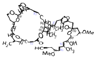 C#CC[C@H](/C=C/C(C)=C/[C@@H](O)[C@H]1C[C@@H](OC)C[C@@](O)(Cc2nc(/C=C(\C)[C@@H]3O[C@@H]4C/C=C/c5nc(co5)[C@H]5OCC[C@@H](C[C@H]6CC(=C)C[C@H](C/C=C\C(=O)O[C@@H]([C@H]4C)[C@H]3C)O6)O5)co2)O1)OC